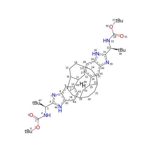 CC(C)(C)OC(=O)N[C@H](c1nc2cc([C@@H]3CC4CCC3CCC3CCC(CC4)[C@H](c4ccc5[nH]c([C@@H](NC(=O)OC(C)(C)C)C(C)(C)C)nc5c4)C3)ccc2[nH]1)C(C)(C)C